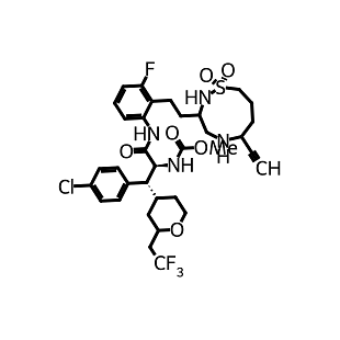 C#CC1CCCS(=O)(=O)NC(CCc2c(F)cccc2NC(=O)[C@@H](NC(=O)OC)[C@@H](c2ccc(Cl)cc2)C2CCOC(CC(F)(F)F)C2)CN1